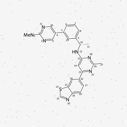 CNc1ncc(-c2cccc([C@H](C)Nc3cc(-c4ccc5ncsc5c4)nc(C)n3)c2)cn1